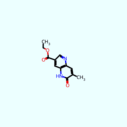 CCOC(=O)c1cnc2cc(C)c(=O)[nH]c2c1